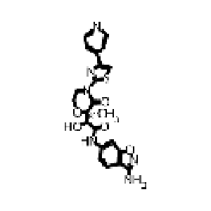 C[C@]1(C(O)C(=O)Nc2ccc3c(N)noc3c2)OCCN(c2nc(-c3ccncc3)cs2)C1=O